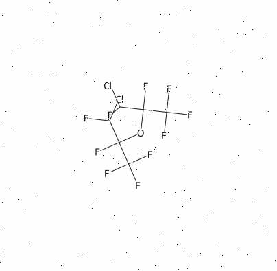 FC(Cl)C(F)(OC(F)(C(F)Cl)C(F)(F)F)C(F)(F)F